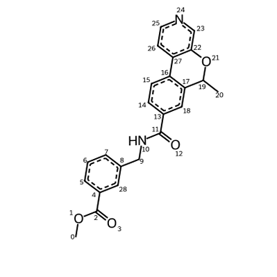 COC(=O)c1cccc(CNC(=O)c2ccc3c(c2)C(C)Oc2cnccc2-3)c1